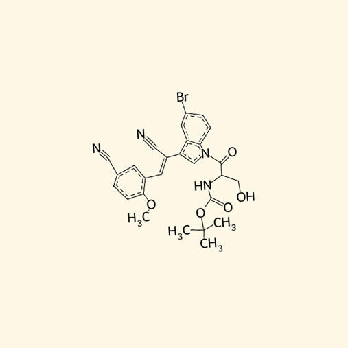 COc1ccc(C#N)cc1/C=C(\C#N)c1cn(C(=O)C(CO)NC(=O)OC(C)(C)C)c2ccc(Br)cc12